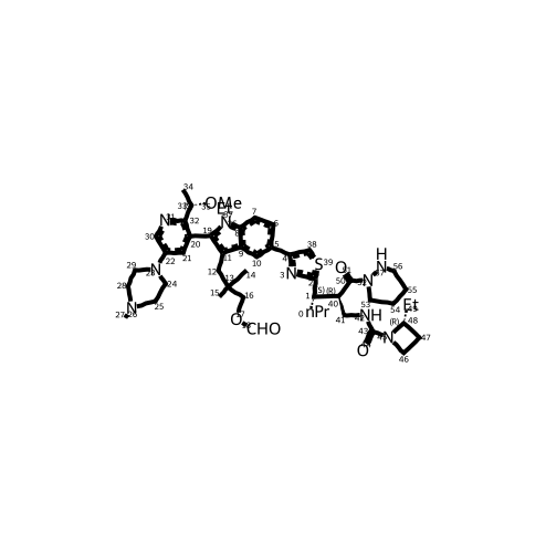 CCC[C@H](c1nc(-c2ccc3c(c2)c(CC(C)(C)COC=O)c(-c2cc(N4CCN(C)CC4)cnc2[C@H](C)OC)n3CC)cs1)[C@H](CNC(=O)N1CC[C@H]1CC)C(=O)N1CCCCN1